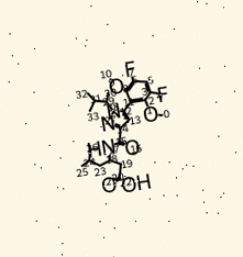 COc1c(F)cc(F)c(OC)c1-c1cc(C(=O)NC(CC(=O)O)CC(C)C)nn1C(C)C(C)C